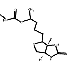 CC(C)NC(=O)OC(C)CCC[C@@H]1SC[C@@H]2NC(=O)N[C@@H]21